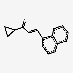 O=C(/C=C/c1cccc2ccccc12)C1CC1